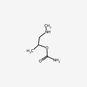 CNCC(C)OC(N)=O